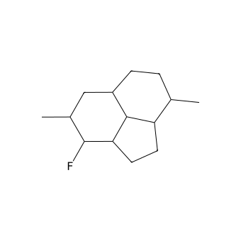 CC1CC2CCC(C)C3CCC(C1F)C23